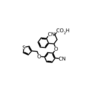 N#Cc1ccc(OCc2ccsc2)cc1OC(CCC(=O)O)c1ccccc1C#N